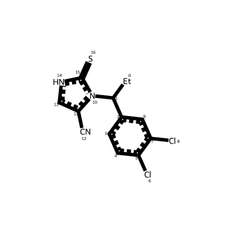 CCC(c1ccc(Cl)c(Cl)c1)n1c(C#N)c[nH]c1=S